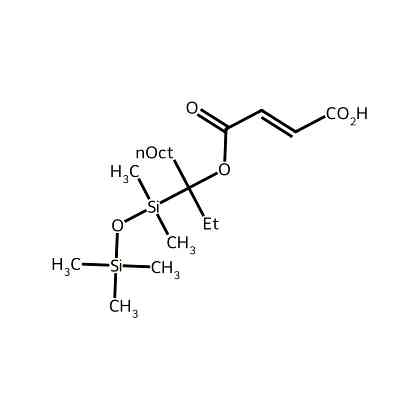 CCCCCCCCC(CC)(OC(=O)/C=C/C(=O)O)[Si](C)(C)O[Si](C)(C)C